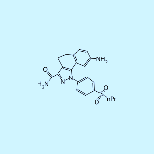 CCCS(=O)(=O)c1ccc(-n2nc(C(N)=O)c3c2-c2cc(N)ccc2CC3)cc1